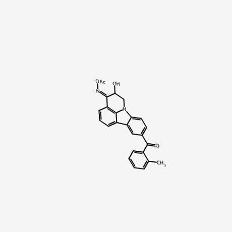 CC(=O)O/N=C1/c2cccc3c4cc(C(=O)c5ccccc5C)ccc4n(c23)CC1O